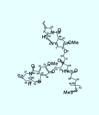 C=C1C[C@H]2C=Nc3cc(OCCP(=O)(CCOc4cc5c(cc4OC)C(=O)N4CC(=C)C[C@@H]4C=N5)CNC(=O)CCC(C)(C)SSC)c(OC)cc3C(=O)N2C1